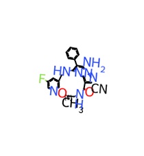 C[C@H]1CNC(=O)c2c(C#N)nn3c(N)c(-c4ccccc4)c(nc23)NCc2cc(F)cnc2O1